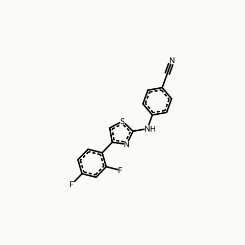 N#Cc1ccc(Nc2nc(-c3ccc(F)cc3F)cs2)cc1